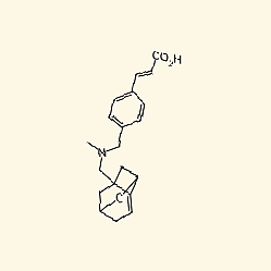 CN(Cc1ccc(/C=C/C(=O)O)cc1)CC12CC3CC=C1C(C3)C2